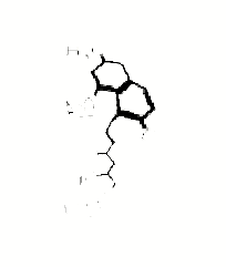 CC(=O)OC1CC(C)Cc2ccc(C)c(C=CC(O)CC(O)CC(=O)O)c21